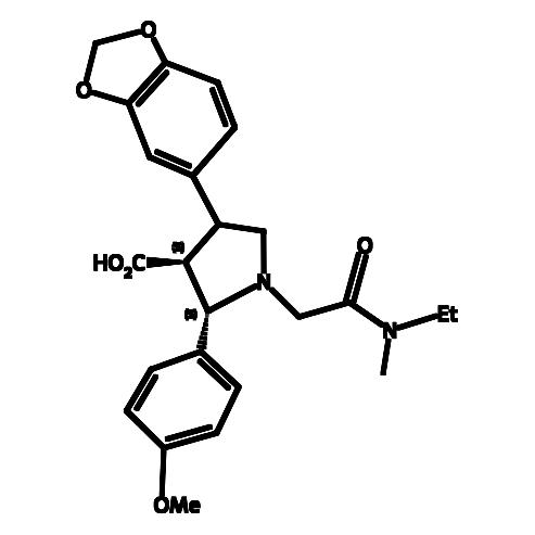 CCN(C)C(=O)CN1CC(c2ccc3c(c2)OCO3)[C@H](C(=O)O)[C@H]1c1ccc(OC)cc1